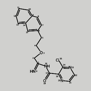 N=C(COCCc1ccc2ccccc2c1)NC(=O)c1nccnc1Cl